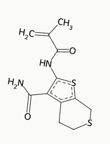 C=C(C)C(=O)Nc1sc2c(c1C(N)=O)CCSC2